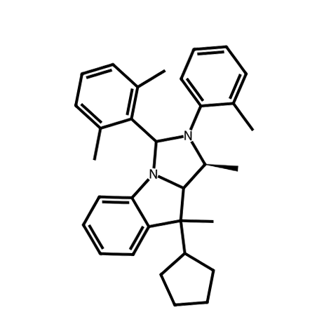 Cc1ccccc1N1C(c2c(C)cccc2C)N2c3ccccc3C(C)(C3CCCC3)C2[C@@H]1C